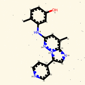 Cc1ccc(O)cc1Nc1cc(C)c2ncc(-c3ccncc3)n2n1